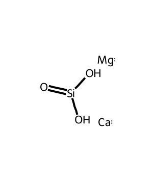 O=[Si](O)O.[Ca].[Mg]